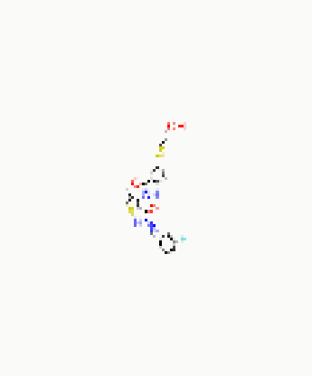 Cc1csc(C(=O)N/N=C/c2cccc(F)c2)c1NC(=O)c1cccc(CSCCCO)c1